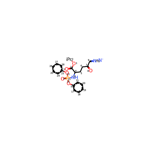 CC(C)OC(=O)C(CCC(=O)C=[N+]=[N-])NP(=O)(Oc1ccccc1)Oc1ccccc1